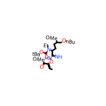 C/C=C(\ONC(=N)C(CCC(COCCCC)OC)N(CC)C(=O)OC(C)(C)C)C(=O)OC